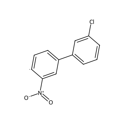 O=[N+]([O-])c1[c]ccc(-c2cccc(Cl)c2)c1